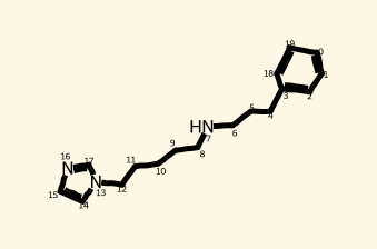 c1ccc(CCCNCCCCCn2ccnc2)cc1